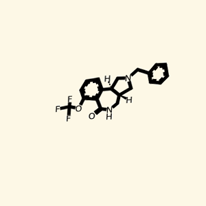 O=C1NC[C@H]2CN(Cc3ccccc3)C[C@@H]2c2cccc(OC(F)(F)F)c21